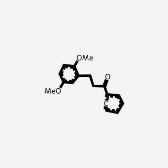 COc1ccc(OC)c(CCC(=O)c2ccccc2)c1